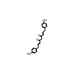 O=C(C=CCc1ccc(O)cc1)CC(=O)C=CCc1ccc(O)cc1